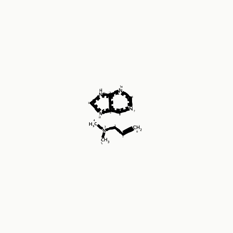 C=CCN(C)C.c1ncc2nc[nH]c2n1